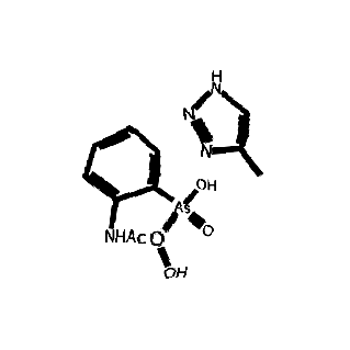 CC(=O)Nc1ccccc1[As](=O)(O)OO.Cc1c[nH]nn1